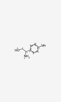 CC(C)c1ccc(C(N)CO)cc1